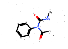 CCC(=O)N(C(=O)NC(C)C)c1ccccc1